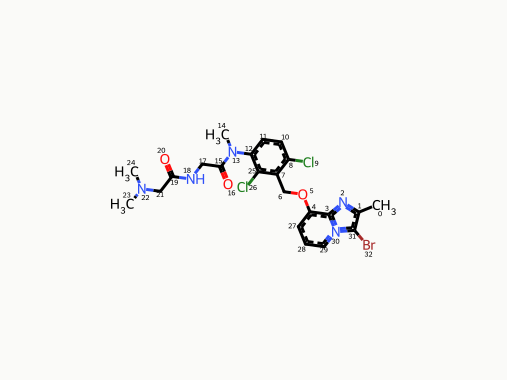 Cc1nc2c(OCc3c(Cl)ccc(N(C)C(=O)CNC(=O)CN(C)C)c3Cl)cccn2c1Br